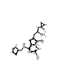 NC(Cc1cc2c(NCc3cccs3)nc(Cl)nn2c1Br)CC1(F)CC1